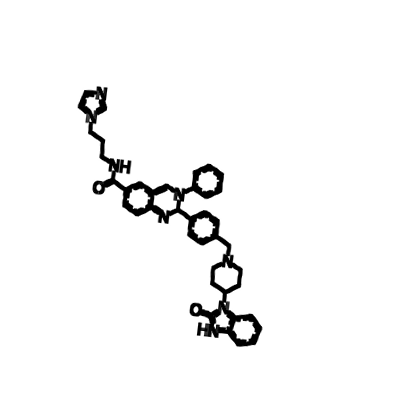 O=C(NCCCn1ccnc1)c1ccc2c(c1)=CN(c1ccccc1)C(c1ccc(CN3CCC(n4c(=O)[nH]c5ccccc54)CC3)cc1)N=2